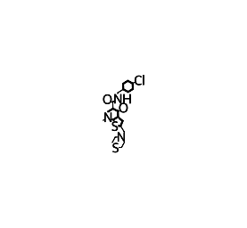 Cn1cc(C(=O)NCc2ccc(Cl)cc2)c(=O)c2cc(CN3CCSCC3)sc21